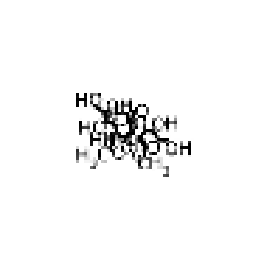 COC1OC(CO)C(O)C(O[C@]2(C(=O)O)C[C@@H](O)C(NC(C)=O)C([C@H](O)[C@H](O)CO)O2)C1O